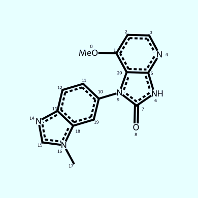 COc1ccnc2[nH]c(=O)n(-c3ccc4ncn(C)c4c3)c12